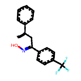 C=C(CC(=NO)c1ccc(C(F)(F)F)cc1)c1ccccc1